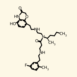 CCCC[C@@H](C)N(CCNCCc1ccc(O)c2c1OCC(=O)N2)C(=O)CCNCCc1cc(F)ccc1C